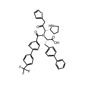 O=C(Cc1cccs1)C([C@H]1CCCN1)N(C(=O)c1ccc(-c2ccc(C(F)(F)F)cc2)cc1)[C@@H](Cc1ccc(-c2ccccc2)cc1)C(=O)O